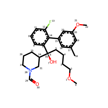 COCCCC[C@@](O)(c1cccc(F)c1-c1cc(C)cc(OC)c1)C1CCCN(C=O)C1